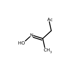 CC(=O)CC(C)=NO